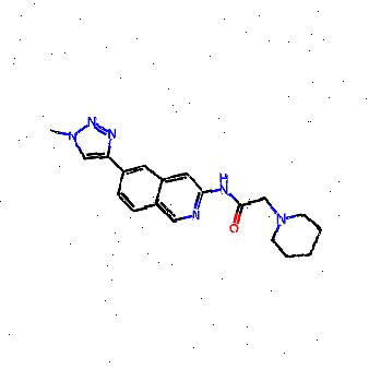 Cn1cc(-c2ccc3cnc(NC(=O)CN4CCCCC4)cc3c2)nn1